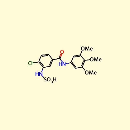 COc1cc(NC(=O)c2ccc(Cl)c(NS(=O)(=O)O)c2)cc(OC)c1OC